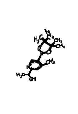 Cc1cc(C(C)O)ncc1B1OC(C)(C)C(C)(C)O1